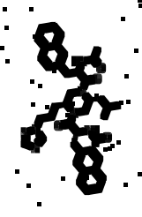 CC(=O)NC(Cc1ccc2ccccc2c1)C(=O)N1C[C@H](CCCn2cncn2)N(C(=O)[C@@H](Cc2ccc3ccccc3c2)NC(C)=O)C[C@H]1CC(C)C